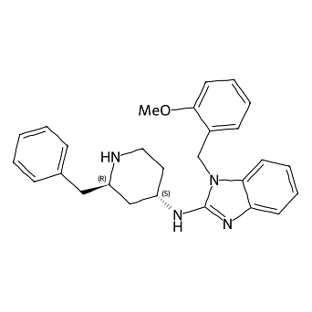 COc1ccccc1Cn1c(N[C@H]2CCN[C@H](Cc3ccccc3)C2)nc2ccccc21